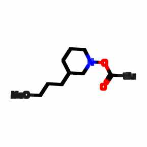 COCCCC1CCCN(OC(=O)C(C)(C)C)C1